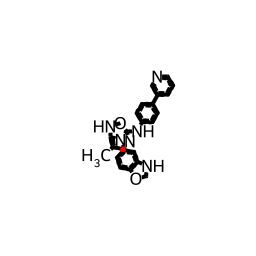 CC1=C2NOC(Nc3ccc(-c4cccnc4)cc3)(N=C1)N2c1ccc2c(c1)NCO2